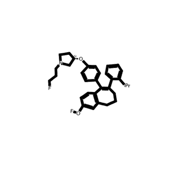 CC(C)c1ccccc1C1=C(c2ccc(O[C@H]3CCN(CCCF)C3)cc2)c2ccc(OF)cc2CCC1